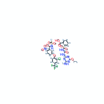 CCOc1nc(NC)nc(NC(=O)NS(=O)(=O)c2ccccc2C(=O)O)n1.CS(=O)(=O)NC(=O)c1cc(Oc2ccc(C(F)(F)F)cc2Cl)ccc1[N+](=O)[O-]